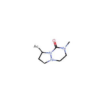 CC(=O)C1CCN2CCN(C)C(=O)N12